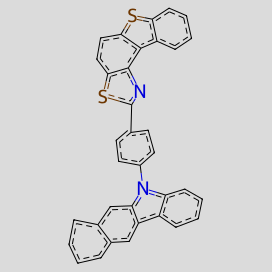 c1ccc2cc3c(cc2c1)c1ccccc1n3-c1ccc(-c2nc3c(ccc4sc5ccccc5c43)s2)cc1